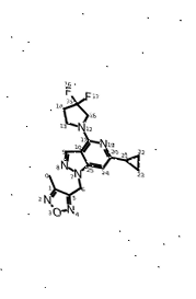 Cc1nonc1Cn1ncc2c(N3CCC(F)(F)C3)nc(C3CC3)cc21